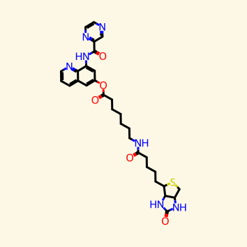 O=C(CCCCC1SCC2NC(=O)NC21)NCCCCCCC(=O)Oc1cc(NC(=O)c2cnccn2)c2ncccc2c1